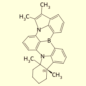 Cc1c(C)n2c3c(cccc13)B1c3cccc4c3N(c3cccc-2c31)C1(C)CCCC[C@@]41C